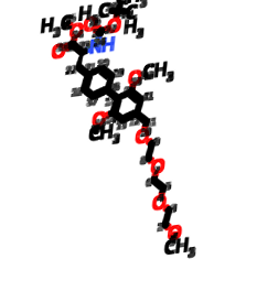 COCCOCCOCCOCc1cc(OC)c(-c2ccc(C[C@H](NC(=O)OC(C)(C)C)C(=O)OC)cc2)c(OC)c1